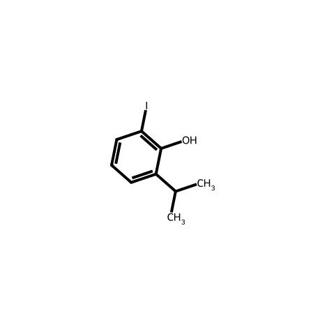 CC(C)c1cccc(I)c1O